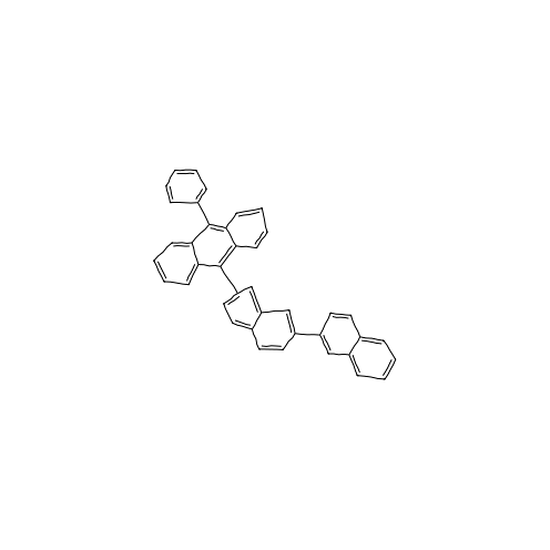 c1ccc(-c2c3ccccc3c(-c3ccc4ccc(-c5ccc6ccccc6c5)cc4c3)c3ccccc23)cc1